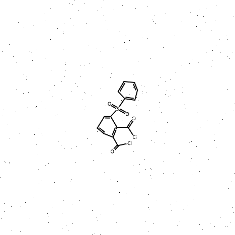 O=C(Cl)c1cccc(S(=O)(=O)c2ccccc2)c1C(=O)Cl